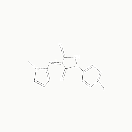 Cn1cccc1/C=C1/C(=O)NN(c2ccc(I)cc2)C1=O